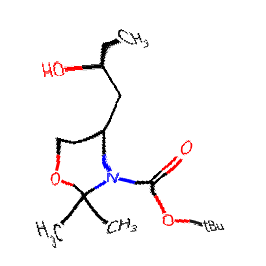 CC(O)CC1COC(C)(C)N1C(=O)OC(C)(C)C